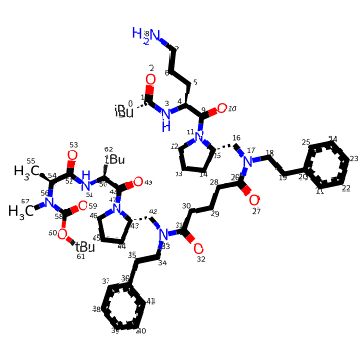 CC[C@@H](C)C(=O)N[C@@H](CCCN)C(=O)N1CCC[C@H]1CN(CCc1ccccc1)C(=O)CCCC(=O)N(CCc1ccccc1)C[C@@H]1CCCN1C(=O)[C@@H](NC(=O)[C@H](C)N(C)C(=O)OC(C)(C)C)C(C)(C)C